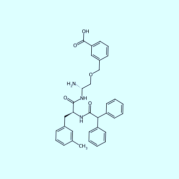 Cc1cccc(C[C@H](NC(=O)C(c2ccccc2)c2ccccc2)C(=O)N[C@H](N)COCc2cccc(C(=O)O)c2)c1